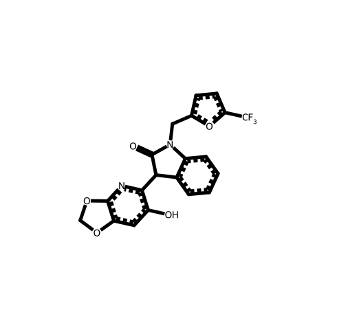 O=C1C(c2nc3c(cc2O)OCO3)c2ccccc2N1Cc1ccc(C(F)(F)F)o1